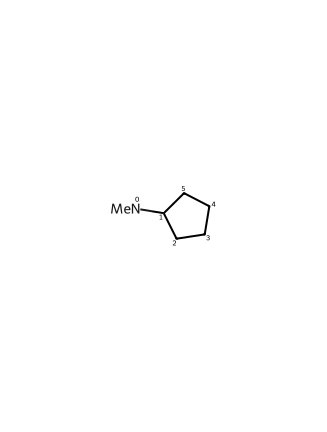 [CH2-][NH2+]C1CCCC1